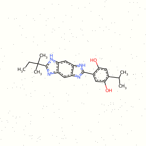 CCC(C)(C)c1nc2cc3nc(-c4cc(O)c(C(C)C)cc4O)[nH]c3cc2[nH]1